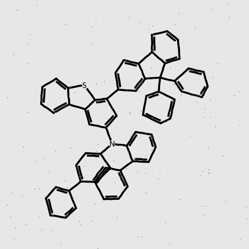 c1cccc(-c2ccccc2N(C2=CC=C(c3ccccc3)CC2)c2cc(-c3ccc4c(c3)C(c3ccccc3)(c3ccccc3)c3ccccc3-4)c3sc4ccccc4c3c2)c#1